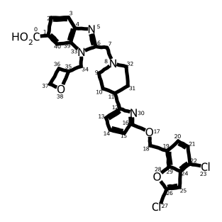 O=C(O)c1ccc2nc(CN3CCC(c4cccc(OCc5ccc(Cl)c6cc(Cl)oc56)n4)CC3)n(CC3CCO3)c2c1